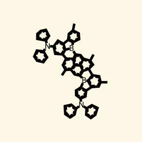 Cc1ccc2c(c1)-c1cc(N(c3ccccc3)c3ccccc3)cc3c1B2c1cc2c(C)cc4c5c(cc6c(C)cc-3c1c6c25)B1c2ccc(N(c3ccccc3)c3ccccc3)cc2-c2cc(C)cc-4c21